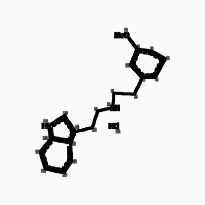 COc1cccc(CCNCCc2c[nH]c3ccccc23)c1.Cl